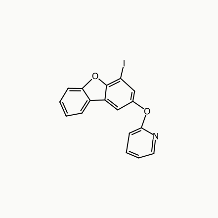 Ic1cc(Oc2ccccn2)cc2c1oc1ccccc12